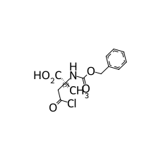 C[C@@](CC(=O)Cl)(NC(=O)OCc1ccccc1)C(=O)O